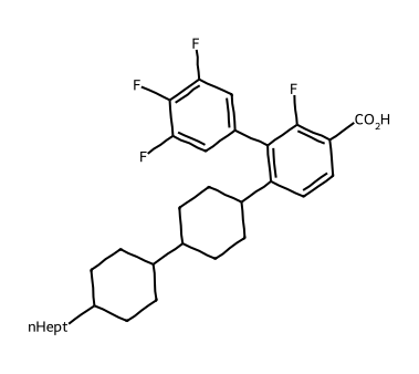 CCCCCCCC1CCC(C2CCC(c3ccc(C(=O)O)c(F)c3-c3cc(F)c(F)c(F)c3)CC2)CC1